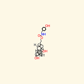 CC[C@H]1[C@@H](O)[C@@H]2[C@H](CC[C@]3(C)[C@@H](CCCOC(=O)NCc4ccc(O)cc4)CC[C@@H]23)[C@@]2(C)CC[C@@H](O)C[C@@H]12